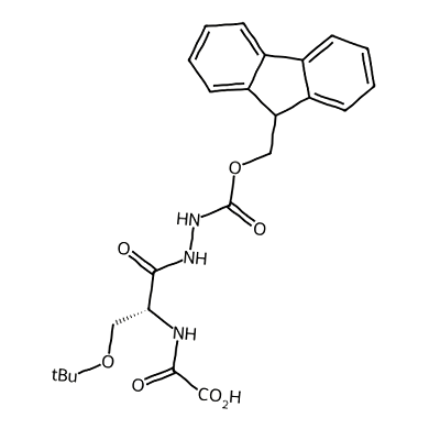 CC(C)(C)OC[C@@H](NC(=O)C(=O)O)C(=O)NNC(=O)OCC1c2ccccc2-c2ccccc21